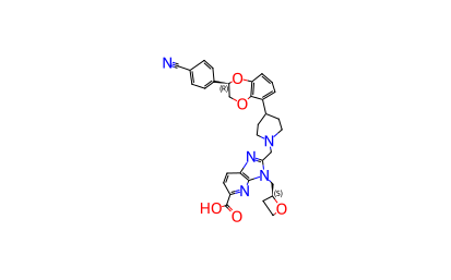 N#Cc1ccc([C@@H]2COc3c(cccc3C3CCN(Cc4nc5ccc(C(=O)O)nc5n4C[C@@H]4CCO4)CC3)O2)cc1